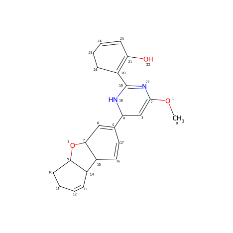 COC1=CC(C2=CC3OC4CCC=CC4C3C=C2)NC(C2=C(O)C=CCC2)=N1